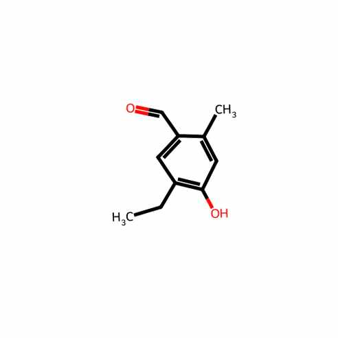 CCc1cc(C=O)c(C)cc1O